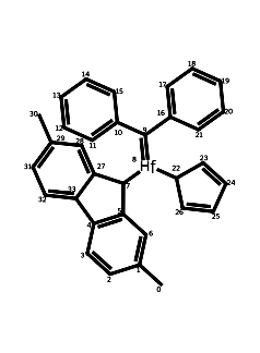 Cc1ccc2c(c1)[CH]([Hf](=[C](c1ccccc1)c1ccccc1)[CH]1C=CC=C1)c1cc(C)ccc1-2